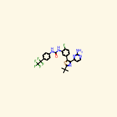 CC(C)(C)c1nc(-c2ccnc(N)n2)c(-c2ccc(F)c(NC(=O)Nc3ccc(C(F)(F)C(F)(F)F)cc3)c2)s1